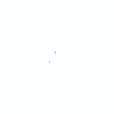 O=C(O)[C@@H]1C[C@@]2(CN1C(=O)OCC1c3ccccc3-c3ccccc31)NC(=O)N(Cc1ccccc1)C2=O